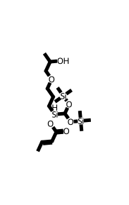 CC=CC(=O)O[SiH](CCCOCC(C)O)C(O[Si](C)(C)C)O[Si](C)(C)C